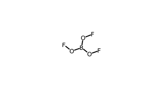 FOB(OF)OF